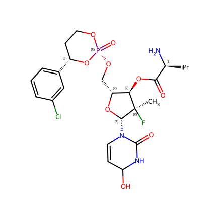 CC(C)[C@H](N)C(=O)O[C@@H]1[C@@H](CO[P@@]2(=O)OCC[C@@H](c3cccc(Cl)c3)O2)O[C@@H](N2C=CC(O)NC2=O)[C@]1(C)F